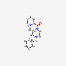 CCN1CCCC[C@H]1C(=O)N1CCN(Cc2ccccc2)CC1